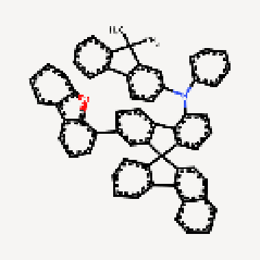 CC1(C)c2ccccc2-c2ccc(N(c3ccccc3)c3cccc4c3-c3ccc(-c5cccc6c5oc5ccccc56)cc3C43c4ccccc4-c4c3ccc3ccccc43)cc21